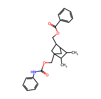 CC1C2CC(COC(=O)Nc3ccccc3)(CC2COC(=O)c2ccccc2)C1C